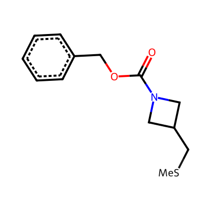 CSCC1CN(C(=O)OCc2ccccc2)C1